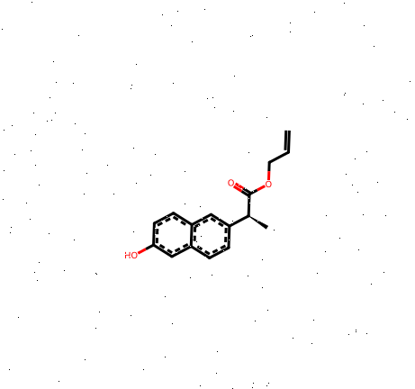 C=CCOC(=O)[C@@H](C)c1ccc2cc(O)ccc2c1